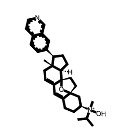 CC(C)[N+](C)(O)[C@H]1CCC2=CC3=CC[C@]4(C)[C@@H](c5ccc6ccncc6c5)CC[C@H]4[C@@]34CC[C@]2(C1)O4